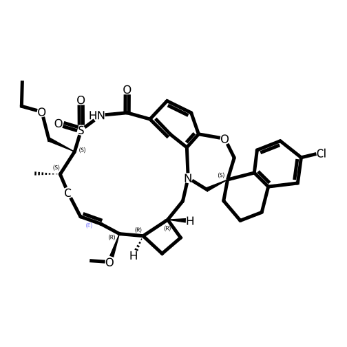 CCOC[C@@H]1[C@@H](C)C/C=C/[C@H](OC)[C@@H]2CC[C@H]2CN2C[C@@]3(CCCc4cc(Cl)ccc43)COc3ccc(cc32)C(=O)NS1(=O)=O